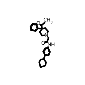 CCC(=O)C1(c2ccccc2)CCN(CC(=O)Nc2ccc(C3CCCCC3)cc2)CC1